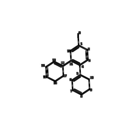 Ic1ccc(C2=CC=CCC2)c(C2=CC=CCC2)c1